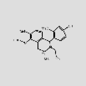 CNc1ccc2c(c1OC=O)C[C@@H](C)N(CC(F)(F)F)C2c1ccc(O)cc1OC